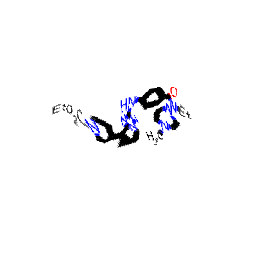 CCOC(=O)N1CC=C(c2cccn3nc(Nc4ccc(C(=O)N(CC)N5CCN(C)CC5)cc4)nc23)CC1